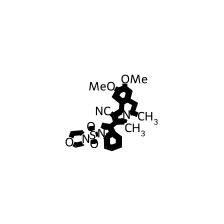 COc1cc2c(cc1OC)-c1c(C#N)c(-c3cn(S(=O)(=O)N4CCOCC4)c4ccccc34)c(C)n1C(C)C2